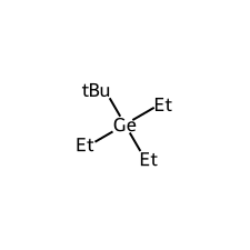 C[CH2][Ge]([CH2]C)([CH2]C)[C](C)(C)C